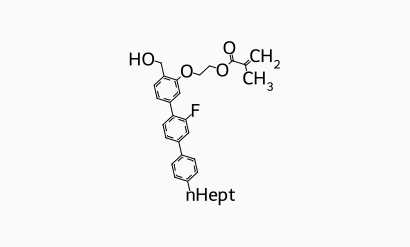 C=C(C)C(=O)OCCOc1cc(-c2ccc(-c3ccc(CCCCCCC)cc3)cc2F)ccc1CO